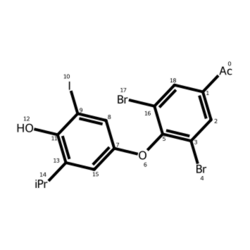 CC(=O)c1cc(Br)c(Oc2cc(I)c(O)c(C(C)C)c2)c(Br)c1